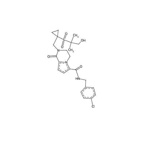 CC(C)(CO)S(=O)(=O)C1(CN2CCn3c(C(=O)NCc4ccc(Cl)cc4)ccc3C2=O)CC1